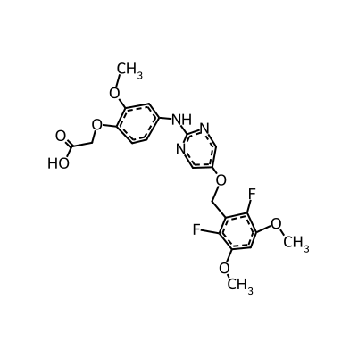 COc1cc(Nc2ncc(OCc3c(F)c(OC)cc(OC)c3F)cn2)ccc1OCC(=O)O